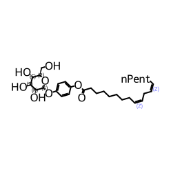 CCCCC/C=C\C/C=C\CCCCCCCC(=O)Oc1ccc(O[C@@H]2O[C@H](CO)[C@@H](O)[C@H](O)[C@H]2O)cc1